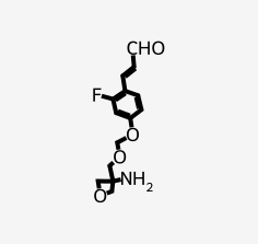 NC1(COCOc2ccc(/C=C/C=O)c(F)c2)COC1